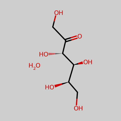 O.O=C(CO)[C@@H](O)[C@@H](O)[C@H](O)CO